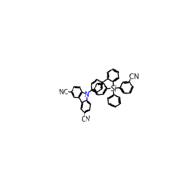 N#Cc1cccc([Si](c2ccccc2)(c2ccccc2)c2ccccc2-c2ccc(-n3c4ccc(C#N)cc4c4cc(C#N)ccc43)cc2)c1